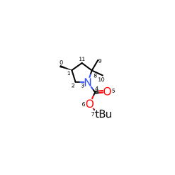 C[C@@H]1CN(C(=O)OC(C)(C)C)C(C)(C)C1